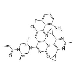 C=CC(=O)N1C[C@H](C)N(c2nc(=O)n(-c3c(C4CC4)nc(C)nc3C3CC3)c3nc(-c4c(N)cccc4F)c(Cl)cc23)C[C@H]1C